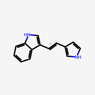 C(=C\c1c[nH]c2ccccc12)/c1cc[nH]c1